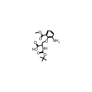 COC(=O)c1cccc(N)c1OCC(NC(=O)OC(C)(C)C)C(=O)O